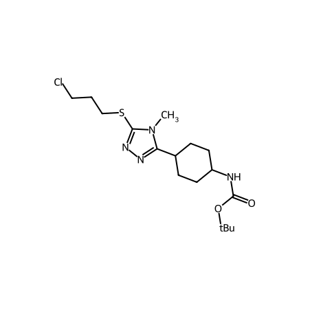 Cn1c(SCCCCl)nnc1C1CCC(NC(=O)OC(C)(C)C)CC1